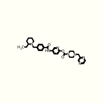 CCC1CCCCN1Cc1ccc(C(=O)Nc2ccc(OC(=O)N3CCN(Cc4cnccn4)CC3)nc2)cc1